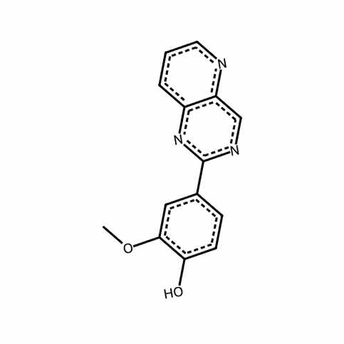 COc1cc(-c2ncc3ncccc3n2)ccc1O